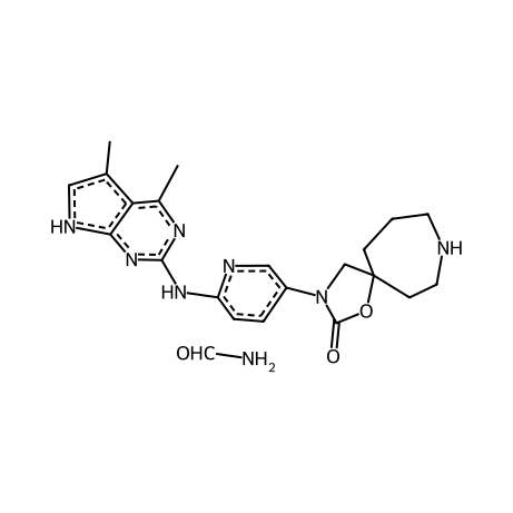 Cc1c[nH]c2nc(Nc3ccc(N4CC5(CCCNCC5)OC4=O)cn3)nc(C)c12.NC=O